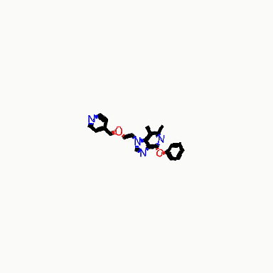 Cc1nc(Oc2ccccc2)c2ncn(CCOCc3ccncc3)c2c1C